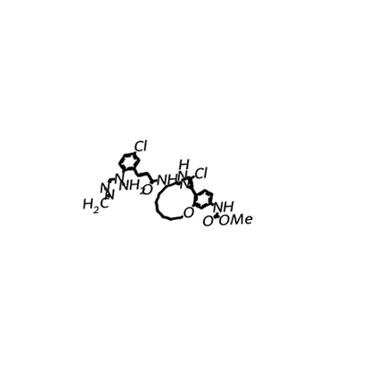 C=N/N=C\N(N)c1ccc(Cl)cc1/C=C/C(=O)N[C@H]1CCCCCCOc2cc(NC(=O)OC)ccc2-c2nc1[nH]c2Cl